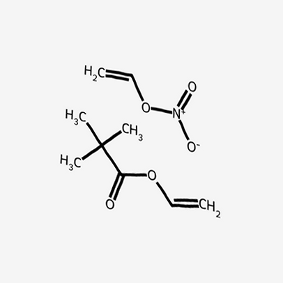 C=COC(=O)C(C)(C)C.C=CO[N+](=O)[O-]